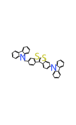 c1ccc2c(c1)c1ccccc1n2Cc1ccc2c(c1)sc1sc3cc(-n4c5ccccc5c5ccccc54)ccc3c12